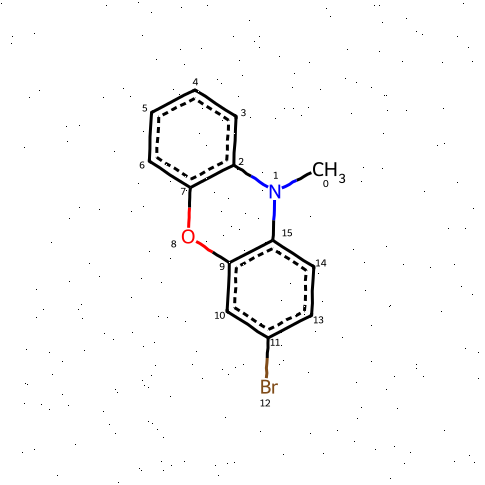 CN1c2ccccc2Oc2cc(Br)ccc21